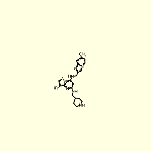 Cc1ccn2cc(CNc3cc(NCC4CCNCC4)nc4c(C(C)C)cnn34)nc2c1